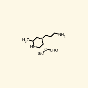 CC(C)(C)OC=O.CC1CN(CCCN)CCN1